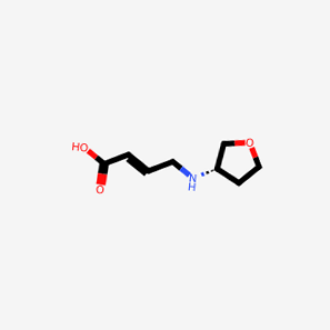 O=C(O)/C=C/CN[C@H]1CCOC1